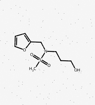 CS(=O)(=O)N(CCCO)Cc1ccco1